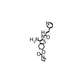 Nc1c(NC(=O)/C=C/c2cccnc2)sc2c1CCC(OC(=O)N1CCC1)C2